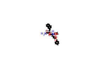 CC(C)(C)OC(=O)N[C@@H](CCCC(=O)OCc1ccccc1)C(=O)O[C@@H](CCc1ccc2ccccc2c1)CC(N)=O